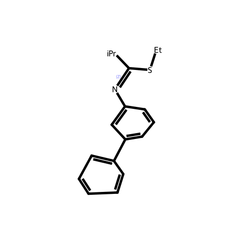 CCS/C(=N\c1cccc(-c2ccccc2)c1)C(C)C